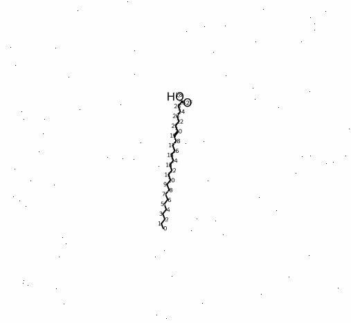 CCCCCCCCCCCCCCCCCCCC=CCCCCCC(=O)O